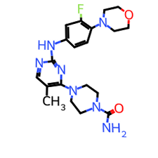 Cc1cnc(Nc2ccc(N3CCOCC3)c(F)c2)nc1N1CCN(C(N)=O)CC1